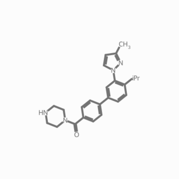 Cc1ccn(-c2cc(-c3ccc(C(=O)N4CCNCC4)cc3)ccc2C(C)C)n1